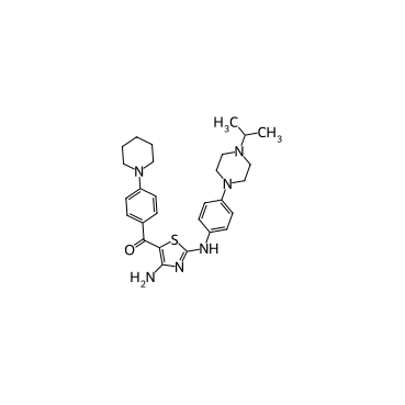 CC(C)N1CCN(c2ccc(Nc3nc(N)c(C(=O)c4ccc(N5CCCCC5)cc4)s3)cc2)CC1